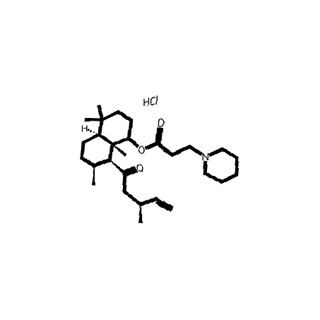 C=C[C@@H](C)CC(=O)[C@H]1[C@@H](C)CC[C@H]2C(C)(C)CCC(OC(=O)CCN3CCCCC3)[C@]12C.Cl